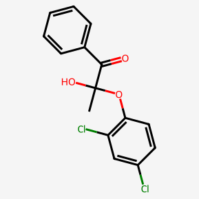 CC(O)(Oc1ccc(Cl)cc1Cl)C(=O)c1ccccc1